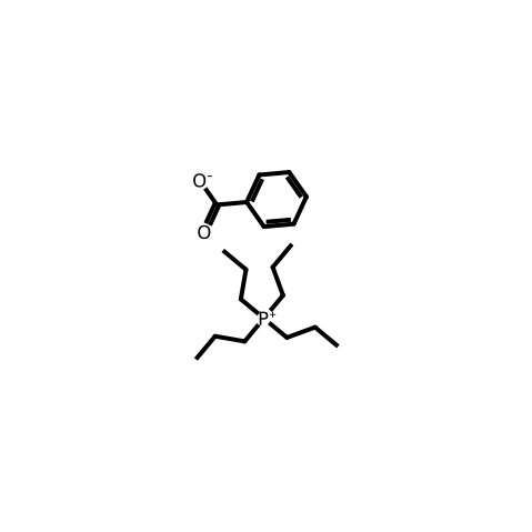 CCC[P+](CCC)(CCC)CCC.O=C([O-])c1ccccc1